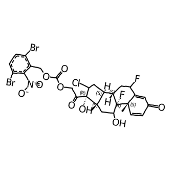 C[C@]12C=CC(=O)C=C1C(F)C[C@H]1[C@@H]3CC(Cl)[C@](O)(C(=O)COC(=O)OCc4c(Br)ccc(Br)c4[N+](=O)[O-])[C@@]3(C)CC(O)[C@@]12F